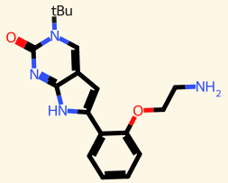 CC(C)(C)n1cc2cc(-c3ccccc3OCCN)[nH]c2nc1=O